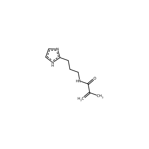 C=C(C)C(=O)NCCCc1ncc[nH]1